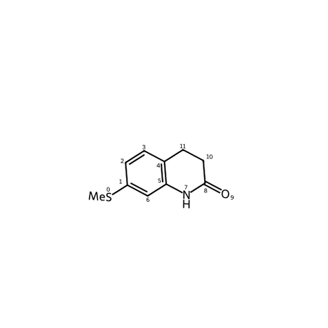 CSc1ccc2c(c1)NC(=O)CC2